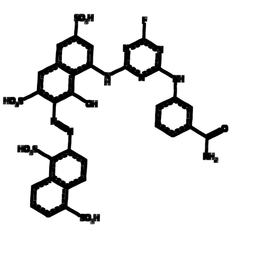 NC(=O)c1cccc(Nc2nc(F)nc(Nc3cc(S(=O)(=O)O)cc4cc(S(=O)(=O)O)c(N=Nc5ccc6c(S(=O)(=O)O)cccc6c5S(=O)(=O)O)c(O)c34)n2)c1